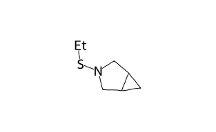 CCSN1CC2CC2C1